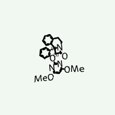 COc1cc(OC)nc(O[C@@H]2C(=O)N3CCc4ccccc4[C@@]23c2ccccc2)n1